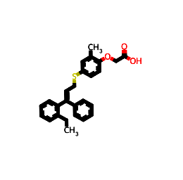 CCc1ccccc1C(=CCSc1ccc(OCC(=O)O)c(C)c1)c1ccccc1